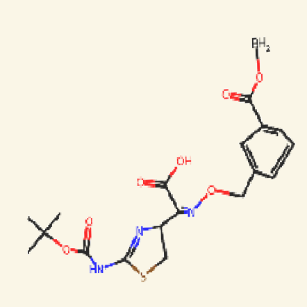 BOC(=O)c1cccc(CO/N=C(\C(=O)O)C2CSC(NC(=O)OC(C)(C)C)=N2)c1